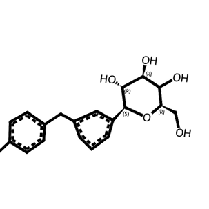 Cc1ccc(Cc2cccc([C@@H]3O[C@H](CO)C(O)[C@H](O)[C@H]3O)c2)cc1